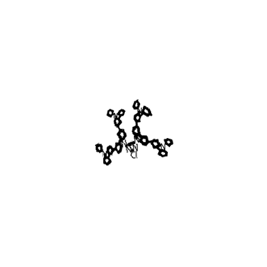 Clc1nc(-n2c3ccc(-c4ccc5c(c4)c4ccccc4n5-c4ccccc4)cc3c3cc(-c4ccc5c(c4)c4ccccc4n5-c4ccccc4)ccc32)cc(-n2c3ccc(-c4ccc5c(c4)c4ccccc4n5-c4ccccc4)cc3c3cc(-c4ccc5c(c4)c4ccccc4n5-c4ccccc4)ccc32)n1